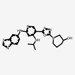 CC(C)Nc1cc(Nc2ccc3ncsc3c2)ncc1-c1nnc(N2CCCC(O)C2)o1